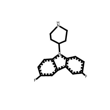 Fc1ccc2c(c1)c1cc(F)ccc1n2C1CCNCC1